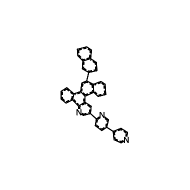 c1ccc2cc(-c3cc4c5ccccc5c5ncc(-c6ccc(-c7ccncc7)cn6)cc5c4c4ccccc34)ccc2c1